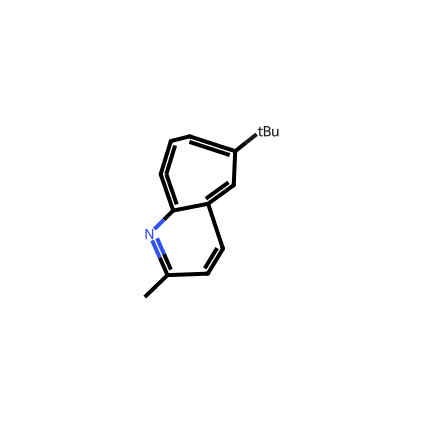 Cc1ccc2c(n1)=C=CC=C(C(C)(C)C)C=2